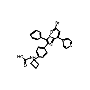 O=C(O)NC1(c2ccc(-c3nc4c(-c5ccncc5)cc(Br)nn4c3-c3ccccc3)cc2)CCC1